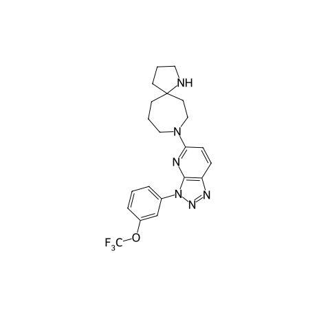 FC(F)(F)Oc1cccc(-n2nnc3ccc(N4CCCC5(CCCN5)CC4)nc32)c1